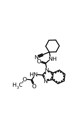 COC(=O)Nc1nc2ccccc2n1C(=O)NC1(C#N)CCCCC1